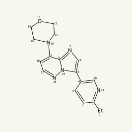 CCc1ccc(-c2cnc3c(N4CCOCC4)ccnn23)cn1